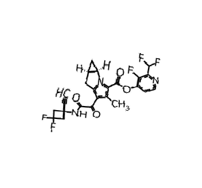 C#CC1(NC(=O)C(=O)c2c(C)c(C(=O)Oc3ccnc(C(F)F)c3F)n3c2C[C@H]2C[C@H]23)CC(F)(F)C1